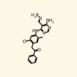 B/N=C/c1c(N)ncnc1Nc1cc(Cl)c(CC(=O)c2ccccc2)cc1C